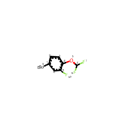 CC(C)(C)c1ccc(OC(F)F)c(F)c1